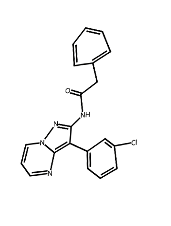 O=C(Cc1ccccc1)Nc1nn2cccnc2c1-c1cccc(Cl)c1